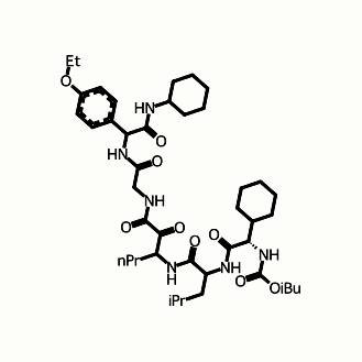 CCCC(NC(=O)C(CC(C)C)NC(=O)[C@@H](NC(=O)OCC(C)C)C1CCCCC1)C(=O)C(=O)NCC(=O)NC(C(=O)NC1CCCCC1)c1ccc(OCC)cc1